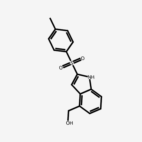 Cc1ccc(S(=O)(=O)c2cc3c(CO)cccc3[nH]2)cc1